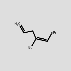 C=CCC(=CCCC)CC